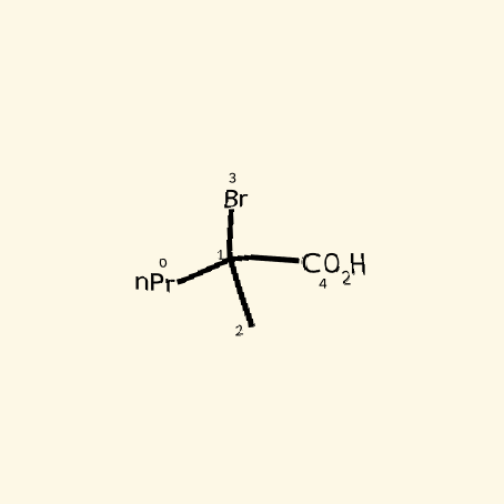 CCCC(C)(Br)C(=O)O